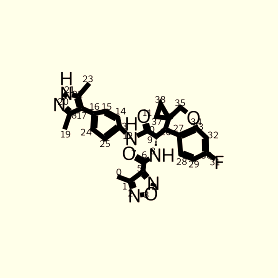 Cc1nonc1C(=O)N[C@H](C(=O)Nc1ccc(-c2c(C)n[nH]c2C)cc1)C1c2ccc(F)cc2OCC12CC2